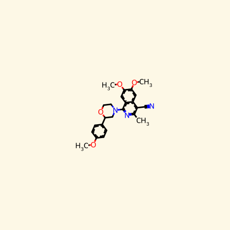 COc1ccc(C2CN(c3nc(C)c(C#N)c4cc(OC)c(OC)cc34)CCO2)cc1